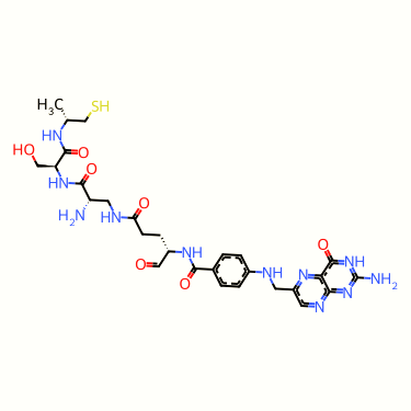 C[C@H](CS)NC(=O)[C@H](CO)NC(=O)[C@@H](N)CNC(=O)CC[C@@H](C=O)NC(=O)c1ccc(NCc2cnc3nc(N)[nH]c(=O)c3n2)cc1